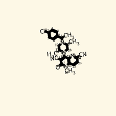 CC(c1ccc(Cl)cc1)N1C[C@H](C)N(c2c(C#N)c(=O)n(C)c3ccc(C#N)nc23)C[C@H]1C